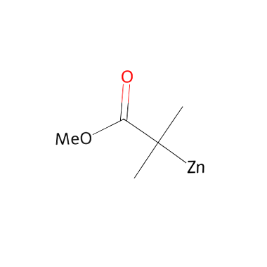 COC(=O)[C](C)(C)[Zn]